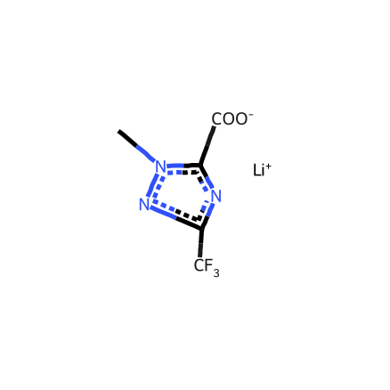 Cn1nc(C(F)(F)F)nc1C(=O)[O-].[Li+]